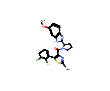 COc1ccc2nc(C3CCCN3C(=O)c3nc(C)sc3-c3cccc(Cl)c3Cl)[nH]c2c1